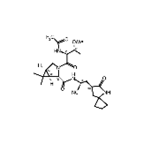 CO[C@H](C)[C@H](NC(=O)C(F)(F)F)C(=O)N1C[C@H]2[C@@H]([C@H]1C(=O)N[C@H](C#N)C[C@@H]1CC3(CCC3)NC1=O)C2(C)C